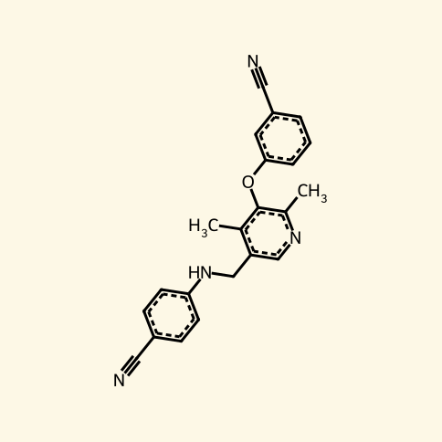 Cc1ncc(CNc2ccc(C#N)cc2)c(C)c1Oc1cccc(C#N)c1